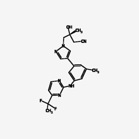 Cc1cc(Nc2nccc(C(C)(F)F)n2)cc(-c2cnn(C[C@](C)(O)CC#N)c2)c1